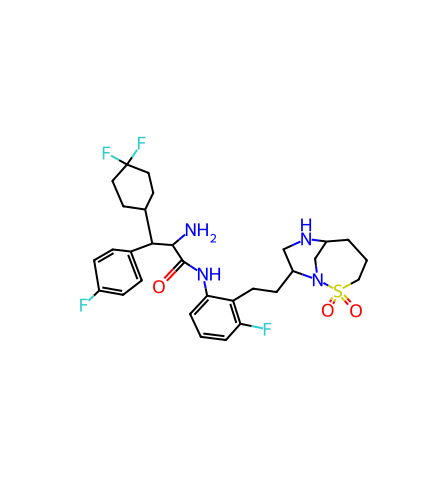 NC(C(=O)Nc1cccc(F)c1CCC1CNC2CCCS(=O)(=O)N1C2)C(c1ccc(F)cc1)C1CCC(F)(F)CC1